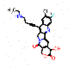 CCNCCC#Cc1c2c(nc3cc(F)c(C)cc13)-c1cc3c(c(=O)n1C2)COC(=O)C3O